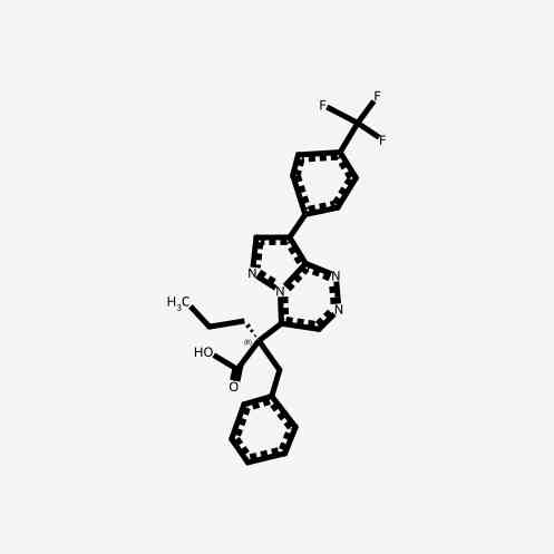 CCC[C@](Cc1ccccc1)(C(=O)O)c1cnnc2c(-c3ccc(C(F)(F)F)cc3)cnn12